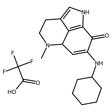 CN1CCc2c[nH]c3c2C1C=C(NC1CCCCC1)C3=O.O=C(O)C(F)(F)F